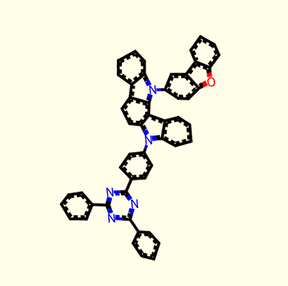 c1ccc(-c2nc(-c3ccccc3)nc(-c3ccc(-n4c5ccccc5c5c4ccc4c6ccccc6n(-c6ccc7oc8ccccc8c7c6)c45)cc3)n2)cc1